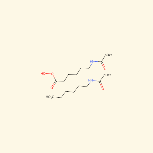 CCCCCCCCC(=O)NCCCCCC(=O)O.CCCCCCCCC(=O)NCCCCCC(=O)OO